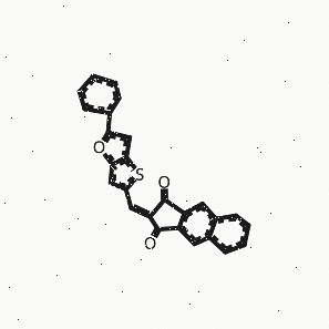 O=C1C(=Cc2cc3oc(-c4ccccc4)cc3s2)C(=O)c2cc3ccccc3cc21